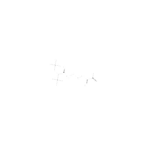 C=C(C)C(=O)OCCOC(=O)C(CC(C)(C)C)C(C)(C)C